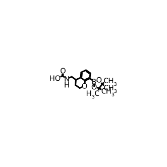 CC1(C)OB(c2cccc3c2OCCC3CNC(=O)O)OC1(C)C